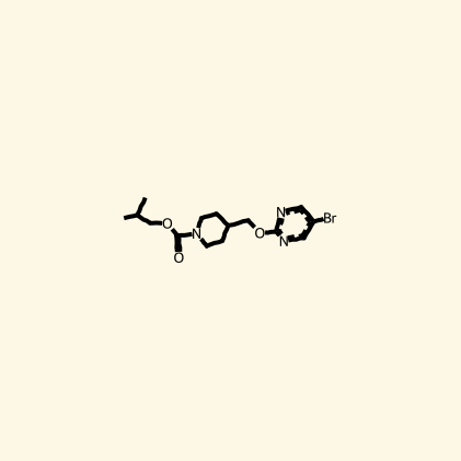 CC(C)COC(=O)N1CCC(COc2ncc(Br)cn2)CC1